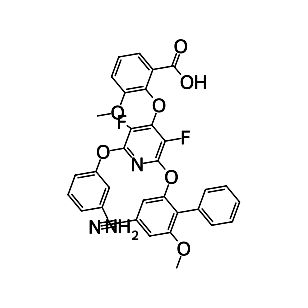 COc1cccc(C(=O)O)c1Oc1c(F)c(Oc2cccc(N)c2)nc(Oc2cc(C#N)cc(OC)c2-c2ccccc2)c1F